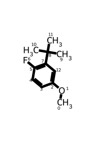 COc1ccc(F)c(C(C)(C)C)c1